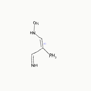 N=C/C(P)=C\NO